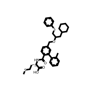 CSCC[C@H](NC(=O)c1ccc(COC(CSc2ccccc2)CC2CCCCC2)cc1-c1ccccc1C)C(=O)O